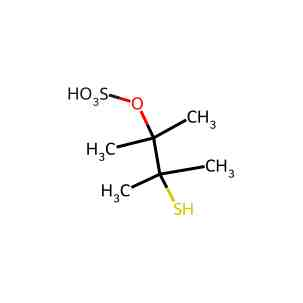 CC(C)(S)C(C)(C)OS(=O)(=O)O